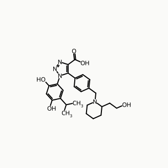 CC(C)c1cc(-n2nnc(C(=O)O)c2-c2ccc(CN3CCCCC3CCO)cc2)c(O)cc1O